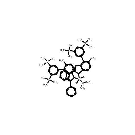 Cc1ccc2c(c1-c1cc([Si](C)(C)C)cc([Si](C)(C)C)c1)C=C(c1ccccc1)[CH]2[Zr]([Cl])([Cl])([CH]1C(c2ccccc2)=Cc2c1ccc(C)c2-c1cc([Si](C)(C)C)cc([Si](C)(C)C)c1)[SiH](C)C